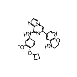 COc1cc(Nc2nc(-c3cnc4c(c3)NCCO4)cn3ccnc23)ccc1OC1CCC1